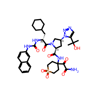 CC(C)(O)c1cnnn1[C@H]1C[C@@H](C(=O)NC2(C(=O)C(N)=O)CCS(=O)(=O)CC2)N(C(=O)[C@@H](CC2CCCCC2)NC(=O)Nc2ccc3ccccc3c2)C1